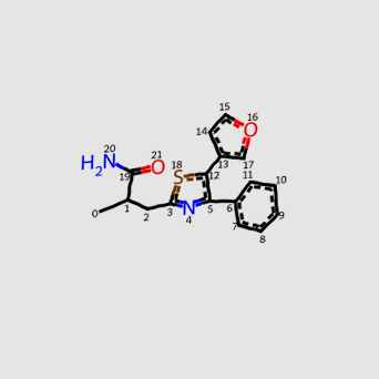 CC(Cc1nc(-c2ccccc2)c(-c2ccoc2)s1)C(N)=O